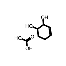 O=C(O)O.OC1C=CCCC1O